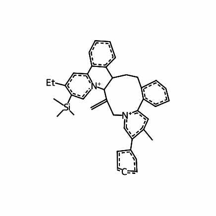 C=C1C[n+]2cc(-c3ccccc3)c(C)cc2-c2ccccc2CCC2c3ccccc3-c3cc(CC)c([Si](C)(C)C)c[n+]3C12